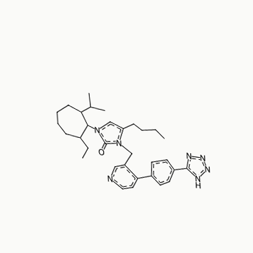 CCCCc1cn(C2C(CC)CCCCC2C(C)C)c(=O)n1Cc1cnccc1-c1ccc(-c2nnn[nH]2)cc1